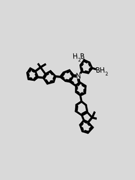 Bc1cc(B)cc(-n2c3ccc(-c4ccc5c(c4)C(C)(C)c4ccccc4-5)cc3c3cc(C4C=CC5=C(C4)C(C)(C)c4ccccc45)ccc32)c1